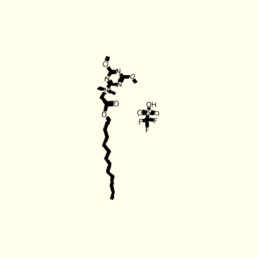 CCCCCCCCCCCCOC(=O)C[N+](C)(C)c1nc(OC)nc(OC)n1.O=S(=O)(O)C(F)(F)F